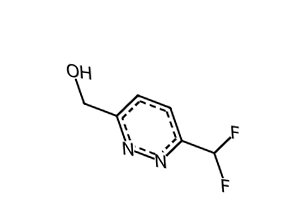 OCc1ccc(C(F)F)nn1